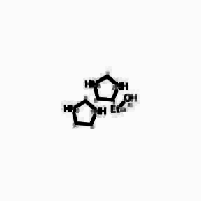 C1CNCN1.C1CNCN1.CCO